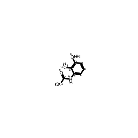 COc1cccc(NC(=O)C(C)(C)C)c1C